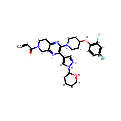 C=CC(=O)N1CCc2nc(N3CCC(Oc4ccc(F)cc4F)CC3)c(-c3cnn(C4CCCCO4)c3)nc2C1